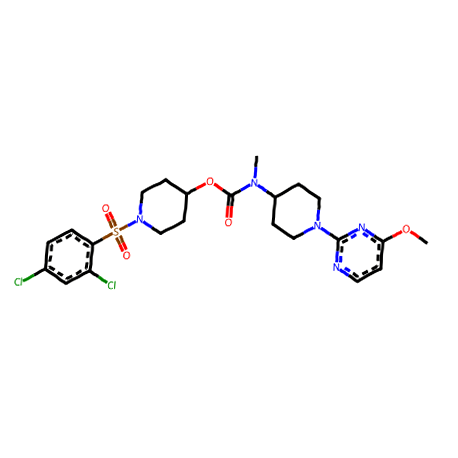 COc1ccnc(N2CCC(N(C)C(=O)OC3CCN(S(=O)(=O)c4ccc(Cl)cc4Cl)CC3)CC2)n1